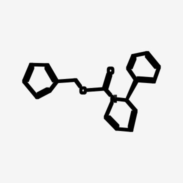 O=C(OCc1ccccc1)N1C=CC=C[C@@H]1c1ccccc1